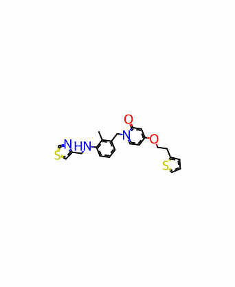 Cc1c(Cn2ccc(OCCc3cccs3)cc2=O)cccc1NCc1cscn1